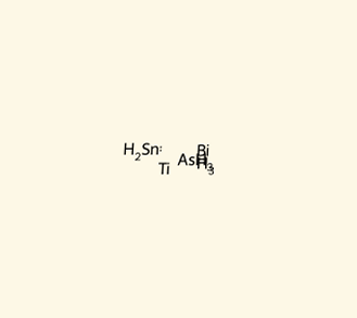 [AsH3].[BiH3].[SnH2].[Ti]